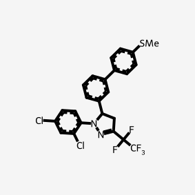 CSc1ccc(-c2cccc(C3CC(C(F)(F)C(F)(F)F)=NN3c3ccc(Cl)cc3Cl)c2)cc1